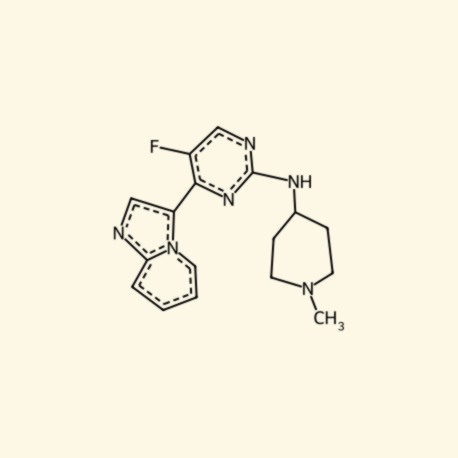 CN1CCC(Nc2ncc(F)c(-c3cnc4ccccn34)n2)CC1